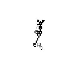 CCCCCCCc1ccc2c(C=O)c(-c3ccc(-c4cc(F)cc(F)c4)c(F)c3)ccc2c1